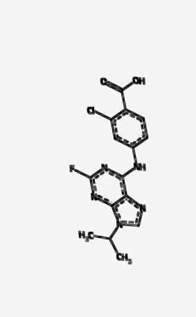 CC(C)n1cnc2c(Nc3ccc(C(=O)O)c(Cl)c3)nc(F)nc21